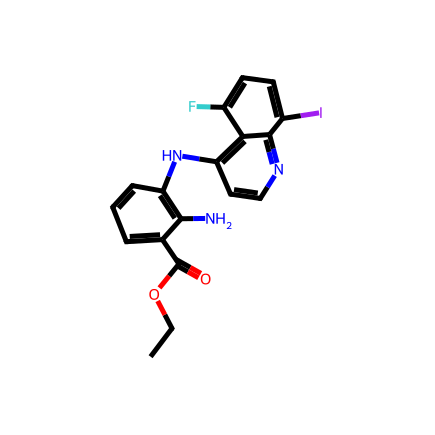 CCOC(=O)c1cccc(Nc2ccnc3c(I)ccc(F)c23)c1N